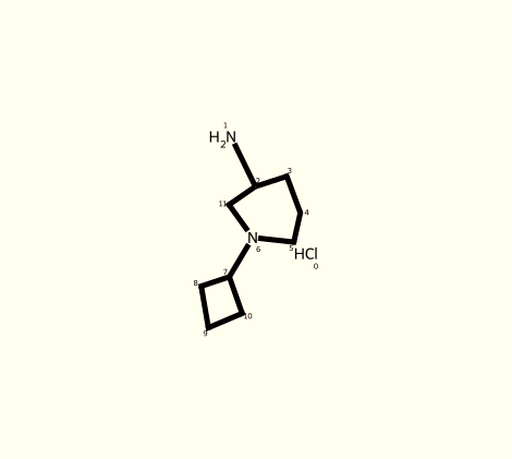 Cl.NC1CCCN(C2CCC2)C1